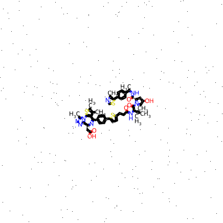 Cc1ncsc1-c1ccc(C(C)NC(=O)[C@@H]2C[C@@H](O)CN2C(=O)C(NC(=O)CCc2ccc(-c3ccc(C4=N[C@@H](CC(=O)O)c5nnc(C)n5-c5sc(C)c(C)c54)cc3)s2)C(C)(C)C)cc1